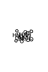 COc1ccc(C[C@H](NC(=O)[C@H](C)NC(=O)OCc2ccccc2)C(=O)N[C@@H](Cc2ccccc2)C(=O)C(=O)NCc2ccccc2)cc1